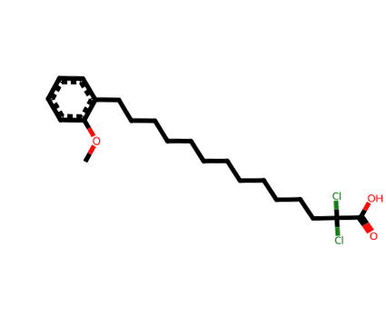 COc1ccccc1CCCCCCCCCCCCC(Cl)(Cl)C(=O)O